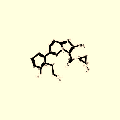 Nc1nc2ccc(-c3cccc(F)c3CCO)cn2c1C(=O)[C@@H]1C[C@@H]1F